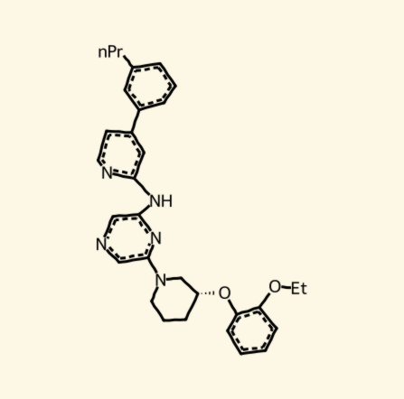 CCCc1cccc(-c2ccnc(Nc3cncc(N4CCC[C@@H](Oc5ccccc5OCC)C4)n3)c2)c1